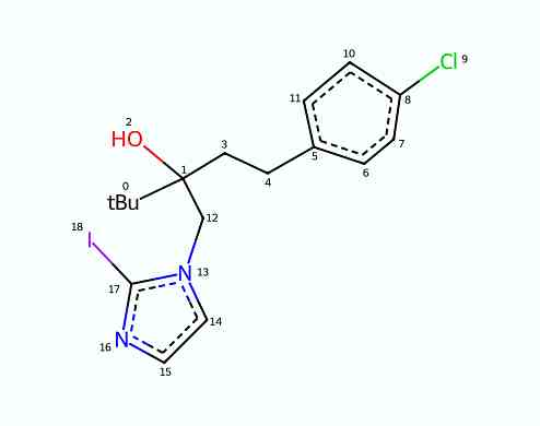 CC(C)(C)C(O)(CCc1ccc(Cl)cc1)Cn1ccnc1I